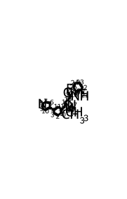 Cc1ccc(-c2ccncc2)cc1-c1cc(C(=O)Nc2c(F)cccc2F)nn1C